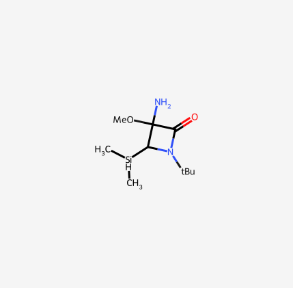 COC1(N)C(=O)N(C(C)(C)C)C1[SiH](C)C